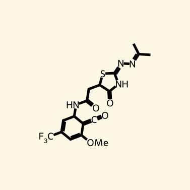 COC1=CC(C(F)(F)F)=CC(NC(=O)CC2SC(=NN=C(C)C)NC2=O)C1=C=O